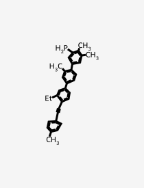 CCc1cc(-c2ccc(-c3cc(C)c(C)c(P)c3)c(C)c2)ccc1C#Cc1ccc(C)cc1